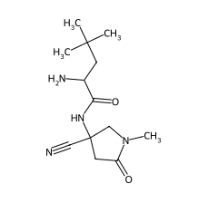 CN1CC(C#N)(NC(=O)C(N)CC(C)(C)C)CC1=O